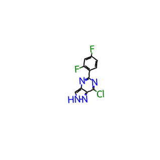 Fc1ccc(-c2nc(Cl)c3n[nH]cc3n2)c(F)c1